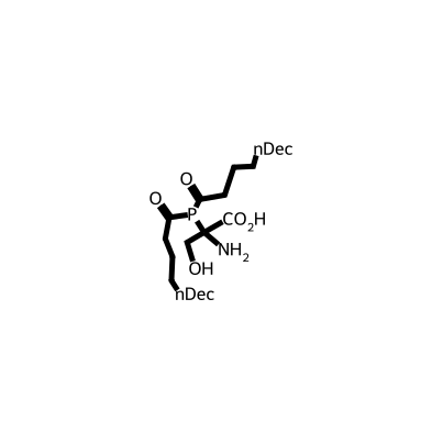 CCCCCCCCCCCCCC(=O)P(C(=O)CCCCCCCCCCCCC)C(N)(CO)C(=O)O